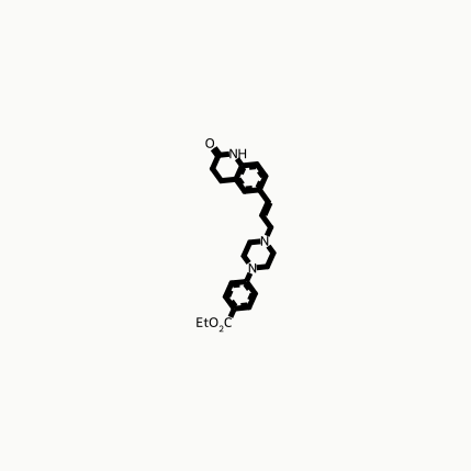 CCOC(=O)c1ccc(N2CCN(CC=Cc3ccc4c(c3)CCC(=O)N4)CC2)cc1